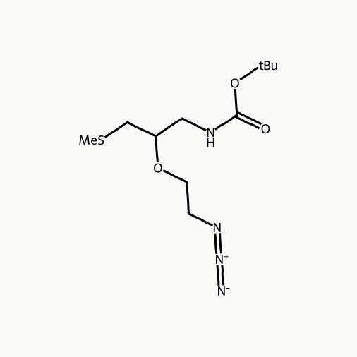 CSCC(CNC(=O)OC(C)(C)C)OCCN=[N+]=[N-]